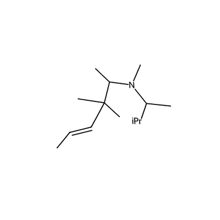 CC=CC(C)(C)C(C)N(C)C(C)C(C)C